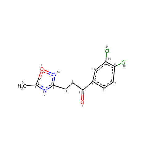 Cc1nc(CCC(=O)c2ccc(Cl)c(Cl)c2)no1